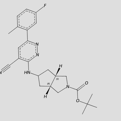 Cc1ccc(F)cc1-c1cc(C#N)c(NC2C[C@@H]3CN(C(=O)OC(C)(C)C)C[C@@H]3C2)nn1